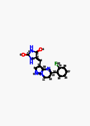 O=C1NC(=O)/C(=C/c2cnn3ccc(-c4ccccc4F)nc23)N1